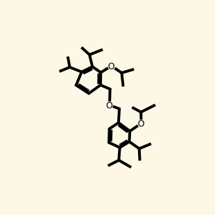 CC(C)Oc1c(COCc2ccc(C(C)C)c(C(C)C)c2OC(C)C)ccc(C(C)C)c1C(C)C